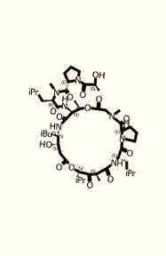 CC[C@H](C)[C@@H]1NC(=O)[C@@H](NC(=O)[C@@H](CC(C)C)N(C)C(=O)[C@@H]2CCCN2C(=O)[C@H](C)O)[C@@H](C)OC(=O)CN(C)C(=O)[C@@H]2CCCN2C(=O)[C@H](CC(C)C)NC(=O)[C@@H](C)C(=O)[C@H](C(C)C)OC(=O)C[C@@H]1O